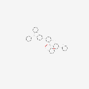 c1ccc(C2c3ccccc3-c3cc(-c4ccc5c(c4)C4(c6ccccc6Oc6ccccc64)c4ccc(-c6ccccn6)cc4O5)ccc32)cc1